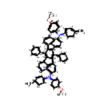 CCCCOc1ccc(N(c2ccc(C)cc2)c2ccc3c4c(-c5ccccc5)c5c6ccc(N(c7ccc(C)cc7)c7ccc(OCCCC)cc7)c7cccc(c5c(-c5ccccc5)c4c4cccc2c43)c76)cc1